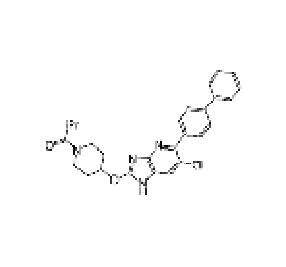 CC(C)C(=O)N1CCC(Oc2nc3nc(-c4ccc(-c5ccccc5)cc4)c(Cl)cc3[nH]2)CC1